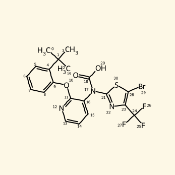 CC(C)(C)c1ccccc1Oc1ncccc1N(C(=O)O)c1nc(C(F)(F)F)c(Br)s1